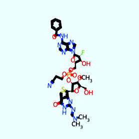 CO[C@H]1[C@@H](OP(=O)(OCCC#N)OC[C@H]2O[C@@H](n3cnc4c(NC(=O)c5ccccc5)ncnc43)[C@H](F)[C@@H]2O)[C@H](c2scc3c(=O)[nH]c(/N=C/N(C)C)nc23)O[C@@H]1CO